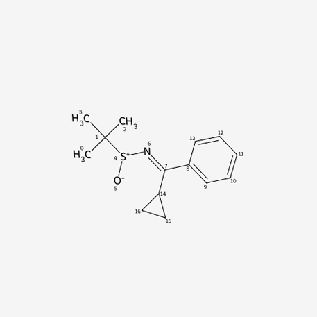 CC(C)(C)[S+]([O-])/N=C(/c1ccccc1)C1CC1